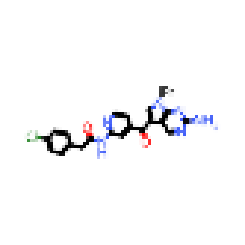 CC(C)n1cc(C(=O)c2ccnc(NC(=O)Cc3ccc(Cl)cc3)c2)c2cnc(N)nc21